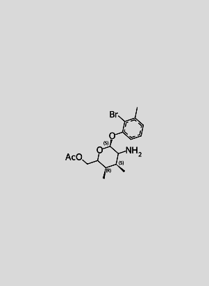 CC(=O)OCC1O[C@@H](Oc2cccc(C)c2Br)C(N)[C@@H](C)[C@H]1C